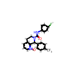 O=C(Nc1ccc(F)cc1)N1CCc2ccc[n+]([O-])c2C1c1ccc(C(F)(F)F)cc1